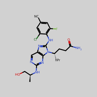 CCC[C@@H](CCC(N)=O)n1c(Nc2c(F)cc(C#N)cc2Cl)nc2cnc(N[C@@H](C)CO)nc21